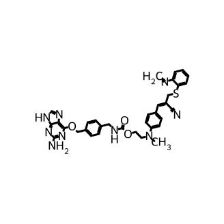 C=Nc1ccccc1SC/C(C#N)=C/c1ccc(N(C)CCOC(=O)NCc2ccc(COc3nc(N)nc4[nH]cnc34)cc2)cc1